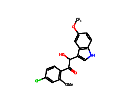 COc1cc(Cl)ccc1C(=O)C(O)c1c[nH]c2ccc(OC(F)(F)F)cc12